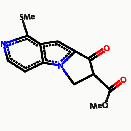 COC(=O)C1Cn2c(cc3c(SC)nccc32)C1=O